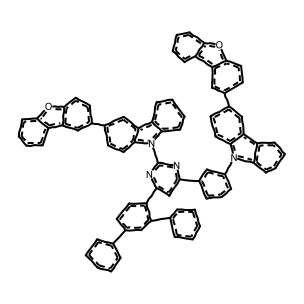 c1ccc(-c2ccc(-c3cc(-c4cccc(-n5c6ccccc6c6cc(-c7ccc8oc9ccccc9c8c7)ccc65)c4)nc(-n4c5ccccc5c5cc(-c6ccc7oc8ccccc8c7c6)ccc54)n3)c(-c3ccccc3)c2)cc1